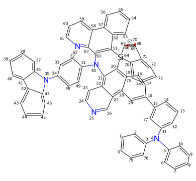 c1ccc(N(c2ccccc2)c2cccc(-c3ccc4c5c(c6ccncc6c4c3)N(c3ccc(-n4c6ccccc6c6ccccc64)cc3)c3c(c4ccccc4c4cccnc34)[Si]53c4ccccc4-c4ccccc43)c2)cc1